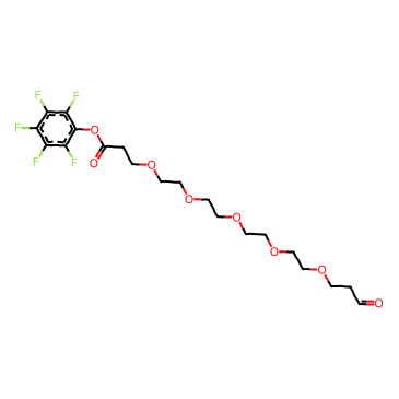 O=CCCOCCOCCOCCOCCOCCC(=O)Oc1c(F)c(F)c(F)c(F)c1F